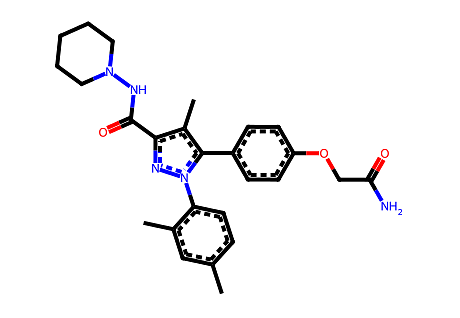 Cc1ccc(-n2nc(C(=O)NN3CCCCC3)c(C)c2-c2ccc(OCC(N)=O)cc2)c(C)c1